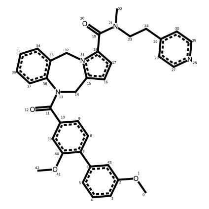 COc1cccc(-c2ccc(C(=O)N3Cc4ccc(C(=O)N(C)CCc5ccncc5)n4Cc4ccccc43)cc2OC)c1